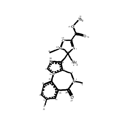 CN1Cc2c(C3(N)N=C(C(=O)OC(C)(C)C)ON3C)ncn2-c2ccc(F)cc2C1=O